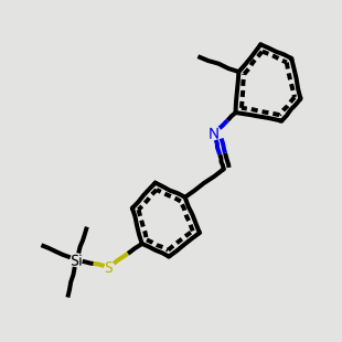 Cc1ccccc1N=Cc1ccc(S[Si](C)(C)C)cc1